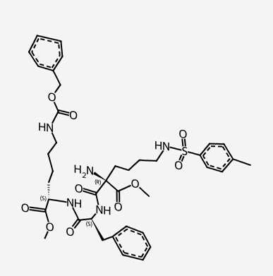 COC(=O)[C@H](CCCCNC(=O)OCc1ccccc1)NC(=O)[C@H](Cc1ccccc1)NC(=O)[C@](N)(CCCCNS(=O)(=O)c1ccc(C)cc1)C(=O)OC